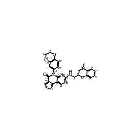 CN1CC(CNc2ncc3c4n[nH]cc4c(=O)n(-c4ccc5c(c4)OCCO5)c3n2)Oc2ccccc21